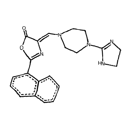 O=C1OC(c2cccc3ccccc23)=NC1=CN1CCN(C2=NCCN2)CC1